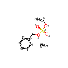 CCCCCCOS(=O)(=O)OCc1ccccc1.[NaH]